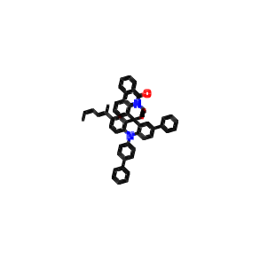 C/C=C\C=C(/C)c1ccc2c(c1)C1(c3cc(-c4ccccc4)ccc3N2c2ccc(-c3ccccc3)cc2)c2ccccc2-n2c(=O)c3ccccc3c3cccc1c32